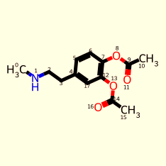 CNCCc1ccc(OC(C)=O)c(OC(C)=O)c1